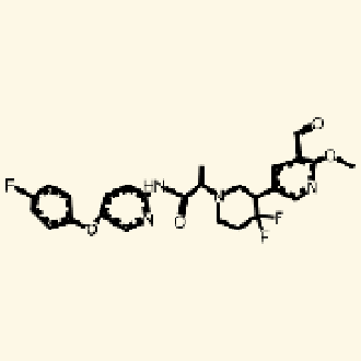 COc1ncc(C2CN(C(C)C(=O)Nc3ccc(Oc4ccc(F)cc4)cn3)CCC2(F)F)cc1C=O